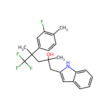 Cc1ccc(C(C)(CC(C)(O)Cc2cc3ccccc3[nH]2)C(F)(F)F)cc1F